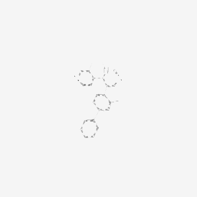 Cc1cc(-c2ccccc2)ccc1-c1cnc[n+](C)c1-c1ccncc1C